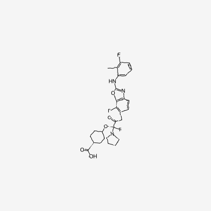 Cc1c(F)cccc1Nc1nc2ccc(CC(=O)C(F)(OC3CCC(C(=O)O)CC3)N3CCCC3)c(F)c2o1